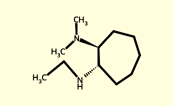 CCN[C@H]1CCCCC[C@@H]1N(C)C